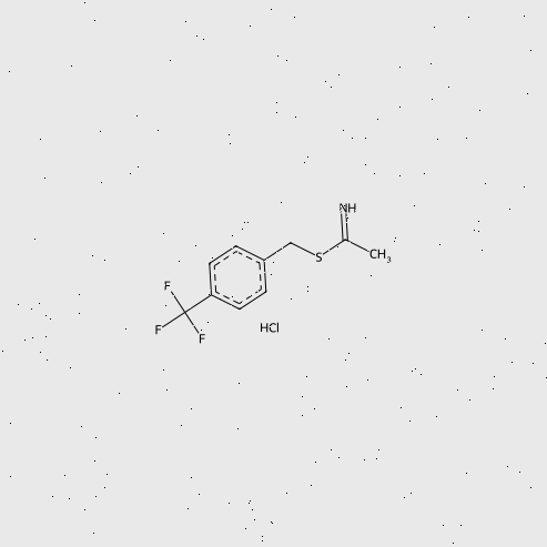 CC(=N)SCc1ccc(C(F)(F)F)cc1.Cl